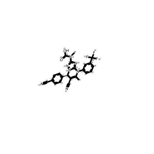 CC1=C(C#N)[C@@H](c2ccc(C#N)cc2)n2nc(N(C)C(=O)O)nc2N1c1cccc(C(F)(F)F)c1